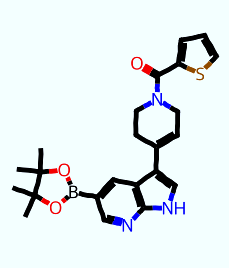 CC1(C)OB(c2cnc3[nH]cc(C4=CCN(C(=O)c5cccs5)CC4)c3c2)OC1(C)C